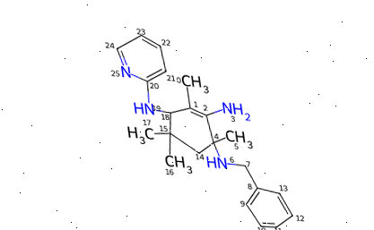 CC1=C(N)C(C)(NCc2ccccc2)CC(C)(C)C1Nc1ccccn1